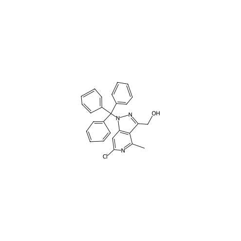 Cc1nc(Cl)cc2c1c(CO)nn2C(c1ccccc1)(c1ccccc1)c1ccccc1